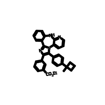 CCOC(=O)c1cccc(-c2nc3n(c2-c2ccc(C4(C)CCC4)cc2)-c2cccnc2Nc2ccccc2-3)c1